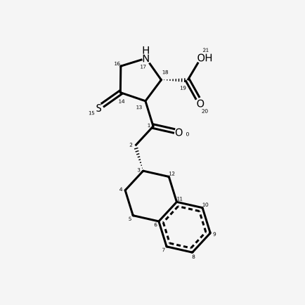 O=C(C[C@H]1CCc2ccccc2C1)C1C(=S)CN[C@@H]1C(=O)O